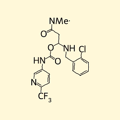 C[N]C(=O)CC(NCc1ccccc1Cl)OC(=O)Nc1ccc(C(F)(F)F)nc1